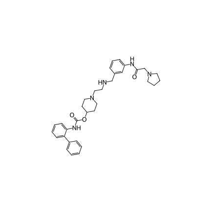 O=C(CN1CCCC1)Nc1cccc(CNCCN2CCC(OC(=O)Nc3ccccc3-c3ccccc3)CC2)c1